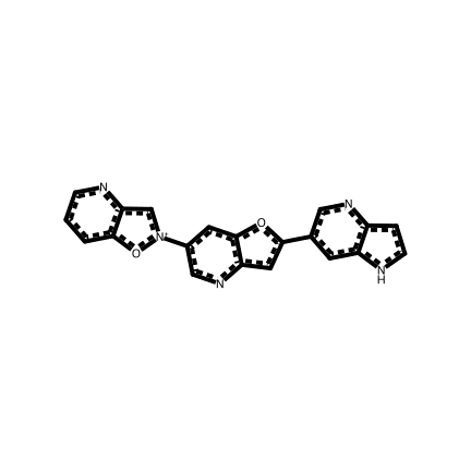 c1cnc2c[n+](-c3cnc4cc(-c5cnc6cc[nH]c6c5)oc4c3)oc2c1